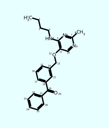 CCCCNc1nc(C)ncc1OCc1cccc(C(=O)c2ccccc2)c1